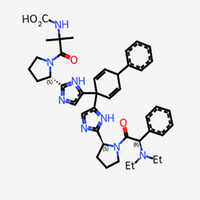 CCN(CC)[C@@H](C(=O)N1CCC[C@H]1c1ncc(C2(c3cnc([C@@H]4CCCN4C(=O)C(C)(C)NC(=O)O)[nH]3)C=CC(c3ccccc3)C=C2)[nH]1)c1ccccc1